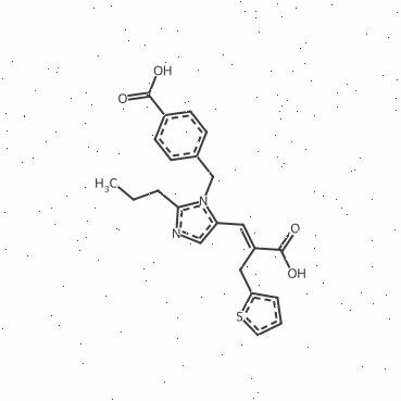 CCCc1ncc(/C=C(\Cc2cccs2)C(=O)O)n1Cc1ccc(C(=O)O)cc1